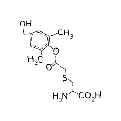 Cc1cc(CO)cc(C)c1OC(=O)CSCC(N)C(=O)O